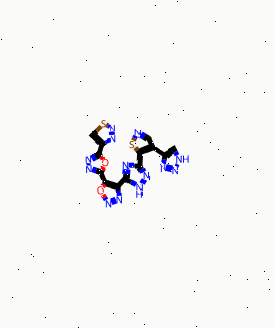 [c]1nsc(-c2n[nH]c(-c3nnoc3-c3nnc(-c4csnn4)o3)n2)c1-c1c[nH]nn1